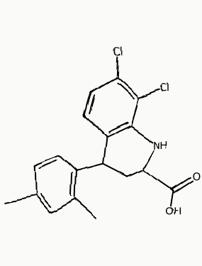 Cc1ccc(C2CC(C(=O)O)Nc3c2ccc(Cl)c3Cl)c(C)c1